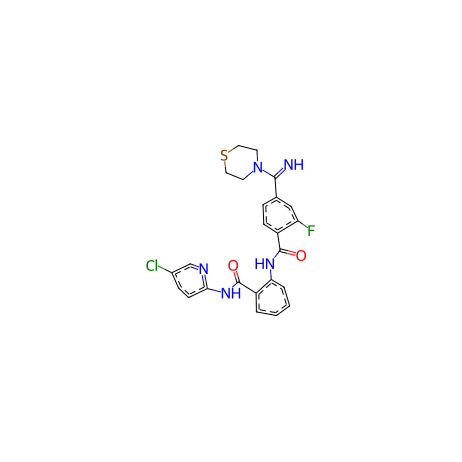 N=C(c1ccc(C(=O)Nc2ccccc2C(=O)Nc2ccc(Cl)cn2)c(F)c1)N1CCSCC1